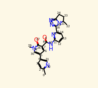 Cc1ccc(-c2cc(C(=O)Nc3cccc(-c4nnc5n4C(C)CC5)n3)c(=O)n(C)c2)cn1